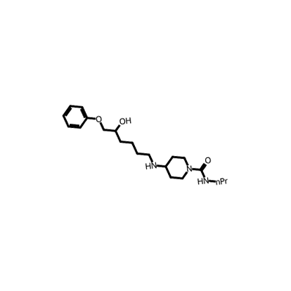 CCCNC(=O)N1CCC(NCCCCC(O)COc2ccccc2)CC1